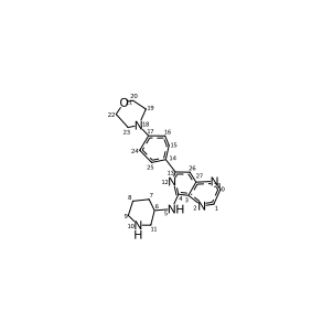 c1cnc2c(NC3CCCNC3)nc(-c3ccc(N4CCOCC4)cc3)cc2n1